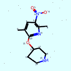 Cc1cc([N+](=O)[O-])c(C)nc1OC1CCNCC1